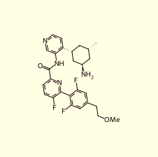 COCCc1cc(F)c(-c2nc(C(=O)Nc3cnccc3[C@@H]3C[C@H](C)C[C@@H](N)C3)ccc2F)c(F)c1